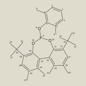 Cc1cccc(C)c1Op1oc2c(C(C)(C)C)cc(C)c(C)c2c2c(C)c(C)cc(C(C)(C)C)c2o1